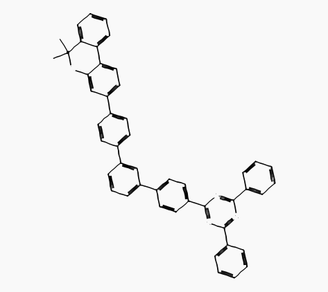 CC1(C)Oc2cc(-c3ccc(-c4cccc(-c5ccc(-c6nc(-c7ccccc7)nc(-c7ccccc7)n6)cc5)c4)cc3)ccc2-c2ccccc21